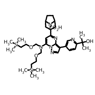 CC(C)(O)c1ccc(-c2cnn3c(N(COCC[Si](C)(C)C)COCC[Si](C)(C)C)cc(C4CC5CCC(C4)N5C(=O)O)nc23)cn1